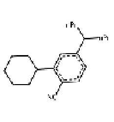 CCCC(CCC)c1ccc(C#N)c(C2CCCCC2)c1